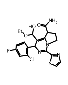 CCOC(O)C1=C2C(C(N)=O)CCN2C(c2nccs2)=NC1c1ccc(F)cc1Cl